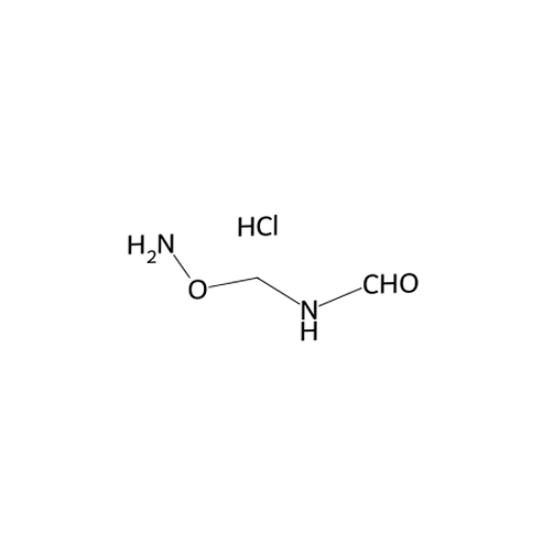 Cl.NOCNC=O